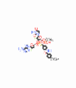 COc1ccc(C(=O)Nc2ccc(CSP(=O)(OC[C@@H]3C[C@@H](F)[C@H](n4cnc5c(N)ncnc54)O3)O[C@H]3[C@@H](F)[C@H](n4ccc(=O)[nH]c4=O)O[C@@H]3COP(=O)(O)OC)cc2)cc1